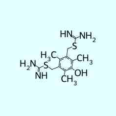 Cc1c(O)c(C)c(CSC(=N)N)c(C)c1CSC(=N)N